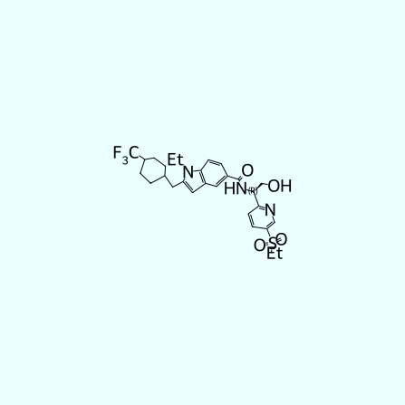 CCn1c(CC2CCC(C(F)(F)F)CC2)cc2cc(C(=O)N[C@@H](CO)c3ccc(S(=O)(=O)CC)cn3)ccc21